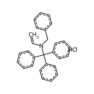 C=CN(Cc1ccccc1)C(c1ccccc1)(c1ccccc1)c1ccccc1.Cl